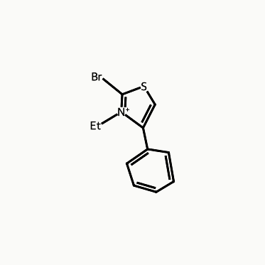 CC[n+]1c(-c2ccccc2)csc1Br